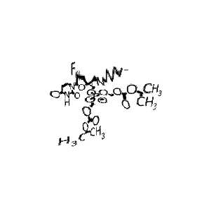 CC(C)OC(=O)OCOP(=O)(OCOC(=O)OC(C)C)OC[C@]1(CN=[N+]=[N-])C[C@@H](F)[C@H](n2ccc(=O)[nH]c2=O)O1